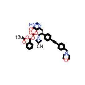 CC(C)(C)C(=O)OC(OC(=O)Oc1c(C[C@H](CN2CC(C#N)C2)c2ccc(C#Cc3ccc(CN4CCOCC4)cc3)cc2)nc[nH]c1=O)c1ccccc1